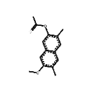 COc1cc2cc(OC(C)=O)c(C)cc2cc1C